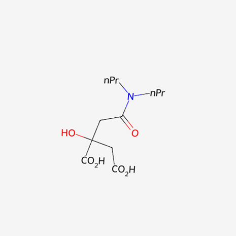 CCCN(CCC)C(=O)CC(O)(CC(=O)O)C(=O)O